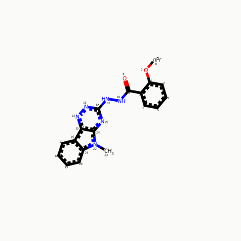 CCCOc1ccccc1C(=O)NNc1nnc2c3ccccc3n(C)c2n1